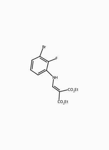 CCOC(=O)C(=CNc1cccc(Br)c1F)C(=O)OCC